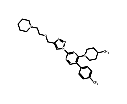 CC1CCN(c2nc(-n3cc(COCCN4CCCCC4)nn3)ncc2-c2ccc(C(F)(F)F)cc2)CC1